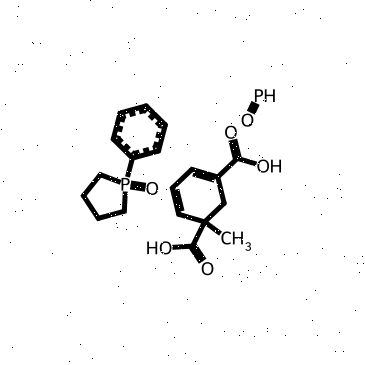 CC1(C(=O)O)C=CC=C(C(=O)O)C1.O=P.O=P1(c2ccccc2)CCCC1